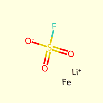 O=S(=O)([O-])F.[Fe].[Li+]